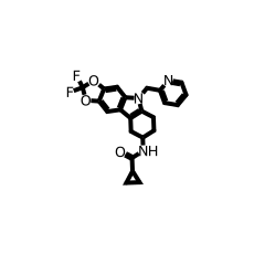 O=C(NC1CCc2c(c3cc4c(cc3n2Cc2ccccn2)OC(F)(F)O4)C1)C1CC1